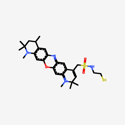 CC1CC(C)(C)N(C)c2cc3c(cc21)N=c1cc2c(cc1O3)=[N+](C)C(C)(C)C=C2CS(=O)(=O)NCCS